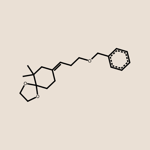 CC1(C)CC(=CCCOCc2ccccc2)CCC12OCCO2